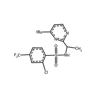 CC(NS(=O)(=O)c1ccc(C(F)(F)F)cc1Cl)c1nccc(C(C)(C)C)n1